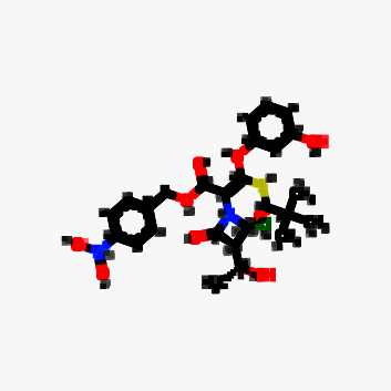 C[C@@H](O)[C@H]1C(=O)N(C(C(=O)OCc2ccc([N+](=O)[O-])cc2)=C(Oc2cccc(O)c2)SC(=O)C(C)(C)C)[C@H]1Cl